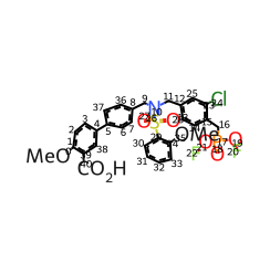 COc1ccc(-c2ccc(CN(Cc3ccc(CP(=O)(OF)OF)c(Cl)c3)S(=O)(=O)c3ccccc3OC)cc2)cc1C(=O)O